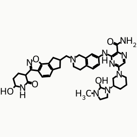 CN1CCN([C@@H]2CCCN(c3cnc(C(N)=O)c(Nc4ccc5c(c4)CN(CC4Cc6ccc7c(C8CCC(O)NC8=O)noc7c6C4)CC5)n3)C2)C1O